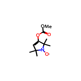 COC(=O)OC1=CC(C)(C)N([O])C1(C)C